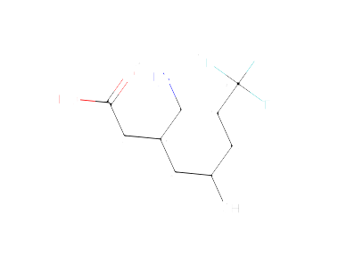 CC(CCC(F)(F)F)CC(CN)CC(=O)O